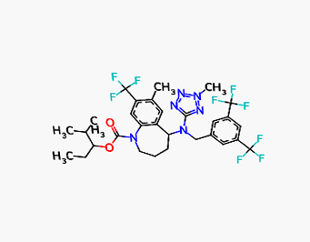 CCC(OC(=O)N1CCCC(N(Cc2cc(C(F)(F)F)cc(C(F)(F)F)c2)c2nnn(C)n2)c2cc(C)c(C(F)(F)F)cc21)C(C)C